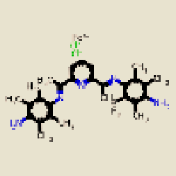 CC(=Nc1c(C)c(C)c(N)c(C)c1C)c1cccc(C(C)=Nc2c(C)c(C)c(N)c(C)c2C)n1.[Cl-].[Cl-].[Fe+2]